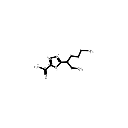 CCCCC(CC)c1nnc(C(N)=O)s1